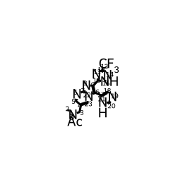 CC(=O)N(C)Cc1cnc2nc(-c3nc(C(F)(F)F)n[nH]3)c(-c3cnc[nH]3)n2c1